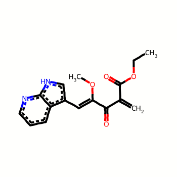 C=C(C(=O)OCC)C(=O)/C(=C/c1c[nH]c2ncccc12)OC